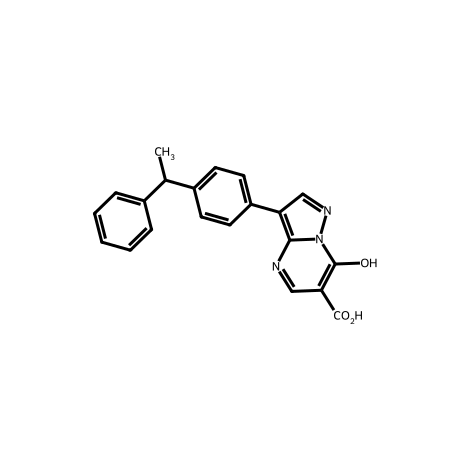 CC(c1ccccc1)c1ccc(-c2cnn3c(O)c(C(=O)O)cnc23)cc1